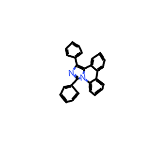 c1ccc(-c2nc(-c3ccccc3)n3c4ccccc4c4ccccc4c23)cc1